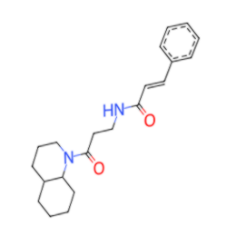 O=C(C=Cc1ccccc1)NCCC(=O)N1CCCC2CCCCC21